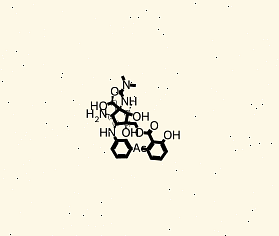 CC(=O)c1cccc(N[C@H]2[C@H](N)[C@@](NC(=O)N(C)C)([C@H](C)O)[C@@](C)(O)[C@@]2(O)COC(=O)c2c(C)cccc2O)c1